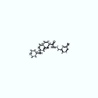 O=C(NCCc1cccc(Br)c1)c1ccc2cnc(NC3CCOCC3)cc2n1